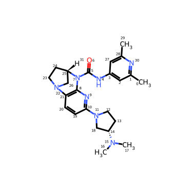 Cc1cc(NC(=O)N2c3nc(N4CC[C@H](N(C)C)C4)ccc3N3CC[C@H]2C3)cc(C)n1